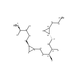 CCCC[C@H](C)C(C)CC[C@@H]1CC1CC[C@H](C)C(C)CC[C@@H]1CC1CCC(C)C